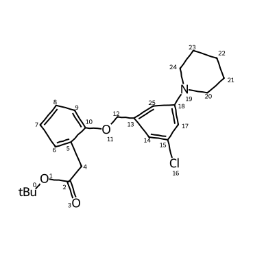 CC(C)(C)OC(=O)Cc1ccccc1OCc1cc(Cl)cc(N2CCCCC2)c1